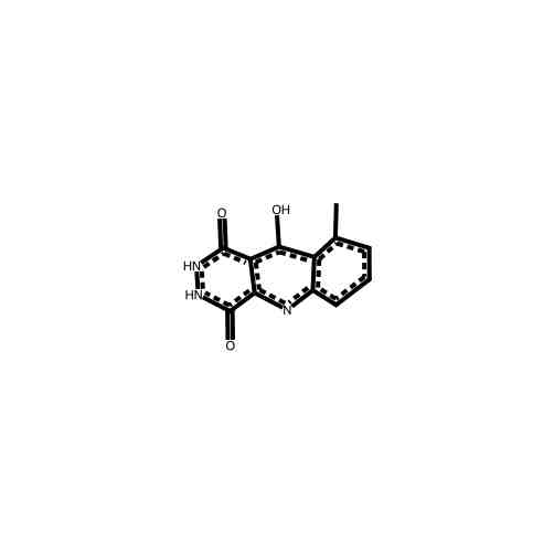 Cc1cccc2nc3c(=O)[nH][nH]c(=O)c3c(O)c12